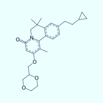 Cc1c(OCC2COCCO2)cc(=O)n2c1-c1ccc(CCC3CC3)cc1C(C)(C)C2